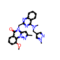 COc1cccc2c(=O)n(Cc3nc(N(C)Cc4cnn(C)c4)c4ccccc4n3)c3cc(C)nn3c12